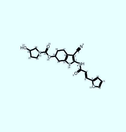 N#Cc1c(NC(=O)C=Cc2ccco2)sc2c1CCC(OC(=O)N1CCC(O)C1)C2